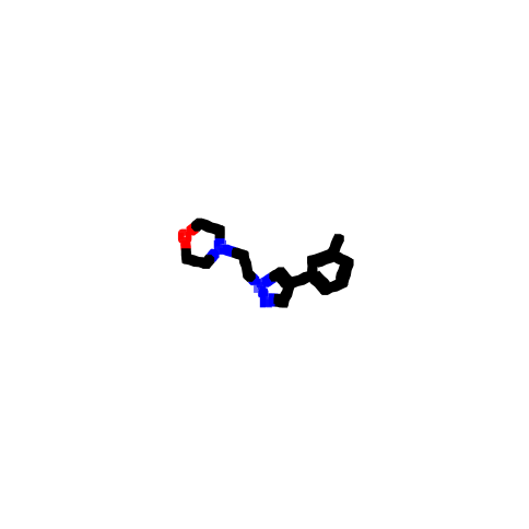 Cc1cccc(-c2cnn(CCN3CCOCC3)c2)c1